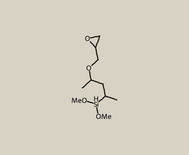 CO[SiH](OC)C(C)CC(C)OCC1CO1